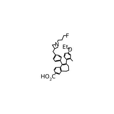 CCOc1ccc(C2=C(c3ccc(CC4CN(CCCF)C4)cc3)c3ccc(C(=O)O)cc3CCC2)c(C)c1